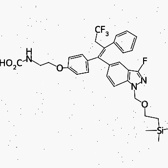 C[Si](C)(C)CCOCn1nc(F)c2cc(C(=C(CC(F)(F)F)c3ccccc3)c3ccc(OCCNC(=O)O)cc3)ccc21